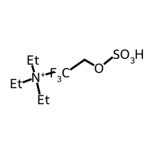 CC[N+](C)(CC)CC.O=S(=O)(O)OCC(F)(F)F